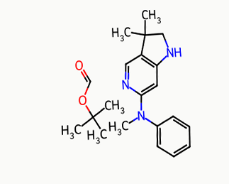 CC(C)(C)OC=O.CN(c1ccccc1)c1cc2c(cn1)C(C)(C)CN2